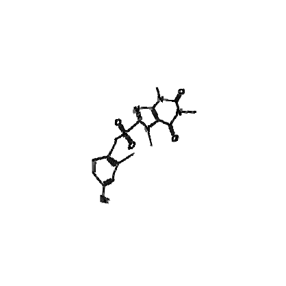 Cc1cc(Br)ccc1CS(=O)(=O)c1nc2c(c(=O)n(C)c(=O)n2C)n1C